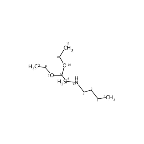 CCCCN[SiH2]C(OCC)OCC